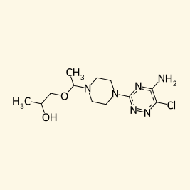 CC(O)COC(C)N1CCN(c2nnc(Cl)c(N)n2)CC1